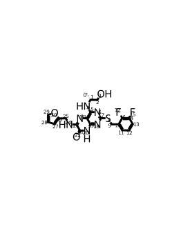 C[C@H](CO)Nc1nc(SCc2cccc(F)c2F)nc2[nH]c(=O)c(NCc3ccco3)nc12